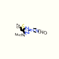 CCc1cc2c(NC)nc(N3CCN(C=O)CC3)nc2s1